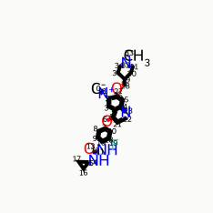 [C-]#[N+]c1cc2c(Oc3ccc(NC(=O)NC4CC4)c(F)c3)ccnc2cc1OCC1CCN(C)CC1